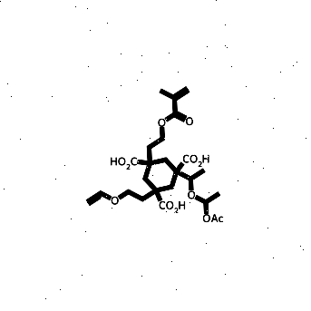 C=COCCC1(C(=O)O)CC(CCOC(=O)C(=C)C)(C(=O)O)CC(C(=O)O)(C(C)OC(C)OC(C)=O)C1